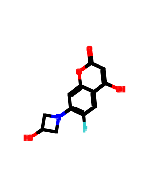 O=c1cc(O)c2cc(F)c(N3CC(O)C3)cc2o1